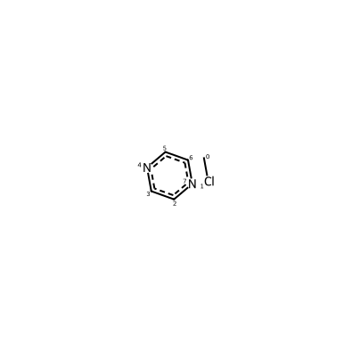 CCl.c1cnccn1